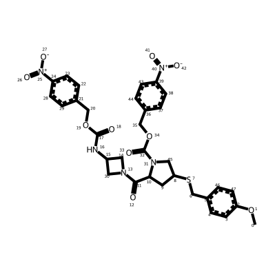 COc1ccc(CSC2CC(C(=O)N3CC(NC(=O)OCc4ccc([N+](=O)[O-])cc4)C3)N(C(=O)OCc3ccc([N+](=O)[O-])cc3)C2)cc1